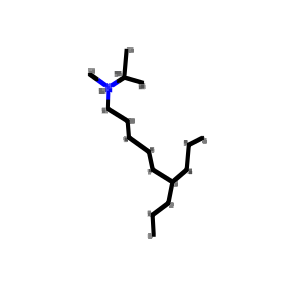 CCCC(CCC)CCCCCN(C)C(C)C